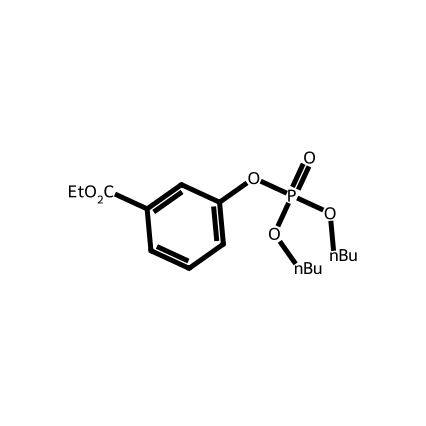 CCCCOP(=O)(OCCCC)Oc1cccc(C(=O)OCC)c1